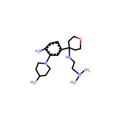 CC1CCN(c2cc(C3(NCCN(C)C)CCOCC3)ccc2N)CC1